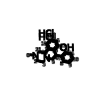 CN1CCN2CC(c3ccccc3O)c3ccccc3C2C1.Cl.Cl